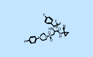 N#CC1(NC(=O)C(CS(=O)(=O)N2CCN(c3ccc(F)cc3)CC2)N[C@H](c2ccc(F)cc2)C(F)(F)F)CC1